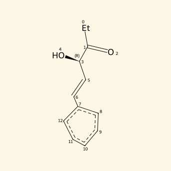 CCC(=O)[C@H](O)C=Cc1ccccc1